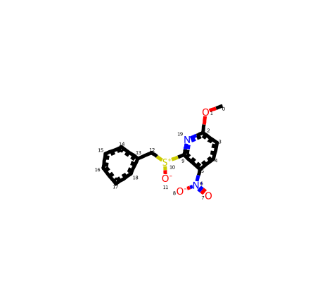 COc1ccc([N+](=O)[O-])c([S+]([O-])Cc2ccccc2)n1